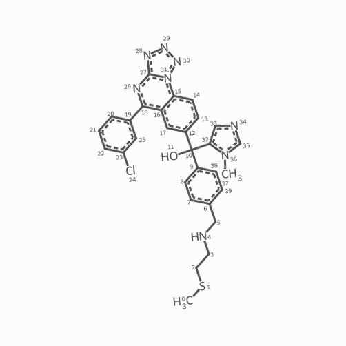 CSCCNCc1ccc(C(O)(c2ccc3c(c2)c(-c2cccc(Cl)c2)nc2nnnn23)c2cncn2C)cc1